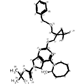 C[C@@H]1CCCCCN1c1nc(OCC2(COCc3ccccc3)CC2(F)F)nc2c1CN(C(=O)OC(C)(C)C)C2